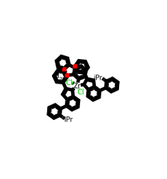 CC(C)c1ccccc1-c1cccc2c1C=C(c1ccccc1)[CH]2[Zr]([Cl])([Cl])([c]1cccc2c1[SiH2]c1ccccc1-2)[CH]1C(c2ccccc2)=Cc2c(-c3ccccc3C(C)C)cccc21